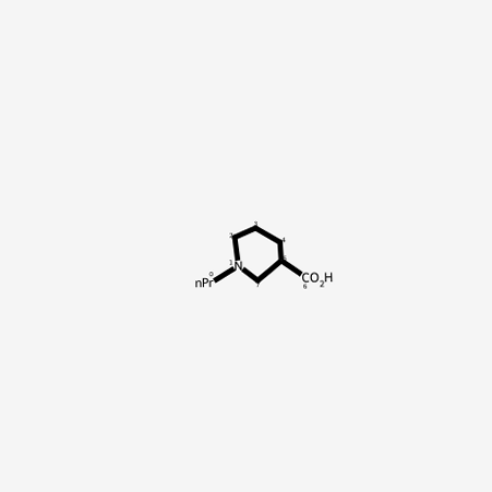 CCCN1CCCC(C(=O)O)C1